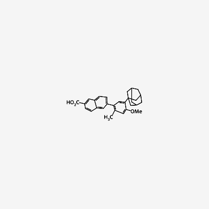 COc1cc(C)c(-c2ccc3cc(C(=O)O)ccc3c2)cc1C12CC3CC(CC(C3)C1)C2